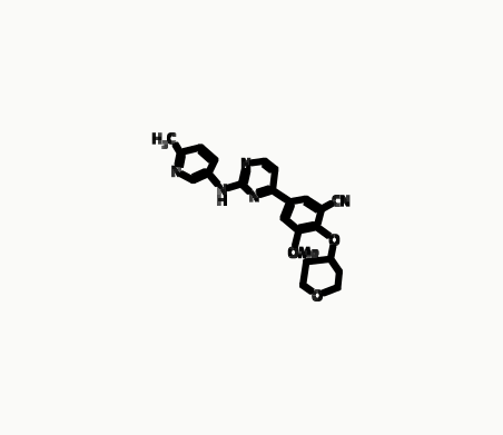 COc1cc(-c2ccnc(Nc3ccc(C)nc3)n2)cc(C#N)c1OC1CCOCC1